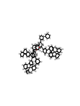 c1ccc(-c2cccc(-c3nc(-c4cccc(-c5ccc(-c6ccc7c(c6)-c6ccccc6C76c7ccccc7Sc7ccc(-c8cccc(-c9nc(-c%10ccccc%10)nc(-c%10ccc%11c(ccc%12ccccc%12%11)c%10)n9)c8)cc76)cc5)c4)nc(-c4cccc(-c5ccc6c(c5)C5(c7ccccc7S6)c6ccccc6-c6ccccc65)c4)n3)c2)cc1